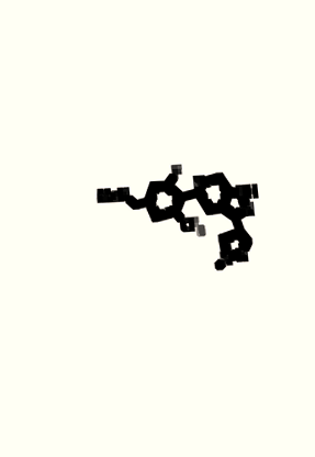 CNCc1cc(F)c(-c2cc3c(-c4cnn(C)c4)n[nH]c3cn2)c(C(F)(F)F)c1